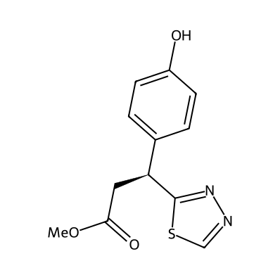 COC(=O)C[C@@H](c1ccc(O)cc1)c1nncs1